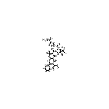 CCC(CC)[C@H](NC(=O)N[C@H](C(=O)N1C[C@H]2[C@@H]([C@H]1C(=O)NCC(=O)C(N)=O)C2(C)C)C(C)(C)C)C(=O)c1ccccc1